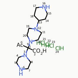 CC(=O)C(C(=O)O)(N1CCNCC1)N1CCN(C2CCNCC2)CC1.Cl.Cl.Cl.Cl